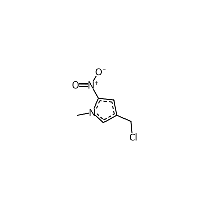 Cn1cc(CCl)cc1[N+](=O)[O-]